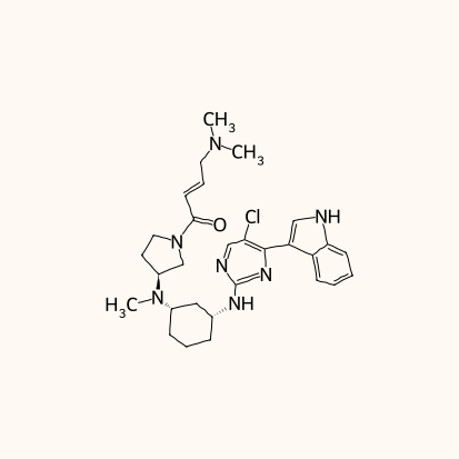 CN(C)C/C=C/C(=O)N1CC[C@H](N(C)[C@H]2CCC[C@@H](Nc3ncc(Cl)c(-c4c[nH]c5ccccc45)n3)C2)C1